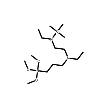 CCN(CCC[Si](OC)(OC)OC)CCN(CC)[Si](C)(C)C